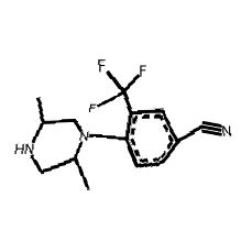 CC1CN(c2ccc(C#N)cc2C(F)(F)F)C(C)CN1